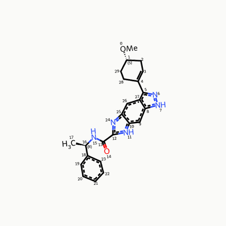 CO[C@@H]1CC=C(c2n[nH]c3cc4[nH]c(C(=O)N[C@H](C)c5ccccc5)nc4cc23)CC1